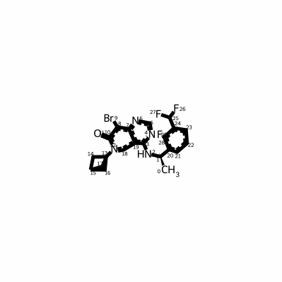 C[C@@H](Nc1ncnc2c(Br)c(=O)n(C34CC(C3)C4)cc12)c1cccc(C(F)F)c1F